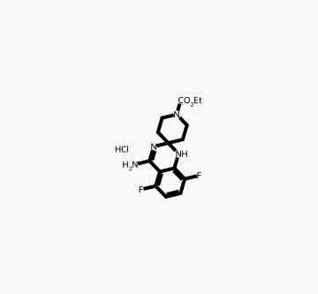 CCOC(=O)N1CCC2(CC1)N=C(N)c1c(F)ccc(F)c1N2.Cl